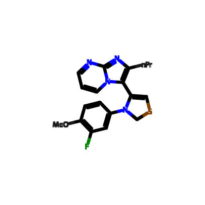 CCCc1nc2ncccn2c1C1=CSCN1c1ccc(OC)c(F)c1